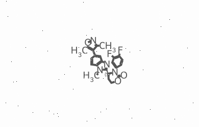 Cc1noc(C)c1-c1ccc2c(c1)nc([C@@H]1CCOC(=O)N1c1ccc(F)c(F)c1)n2C